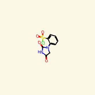 O=C1CN(c2ccccc2S(=O)(=O)Cl)C(=O)N1